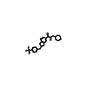 O=C(NCC1CCSCC1)c1cnc2c(c1)CN(Cc1ccc(C(F)(F)F)cc1)C2